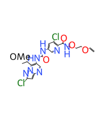 C=COCCONC(=O)c1ncc(NC(=O)Nc2cnc3cc(Cl)nn3c2[C@H](C)OC)cc1Cl